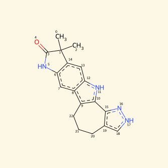 CC1(C)C(=O)Nc2cc3c4c([nH]c3cc21)-c1n[nH]cc1CCC4